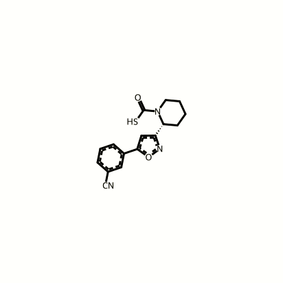 N#Cc1cccc(-c2cc([C@H]3CCCCN3C(=O)S)no2)c1